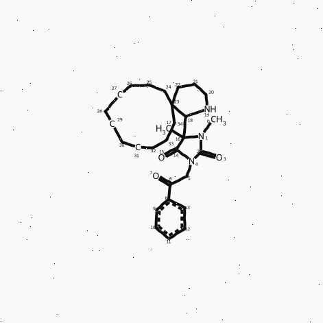 CN1C(=O)N(CC(=O)c2ccccc2)C(=O)C1(C)C1NCCCC12CCCCCCCCCCC2